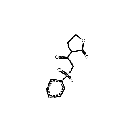 O=C(CS(=O)(=O)c1ccccc1)C1CCOC1=O